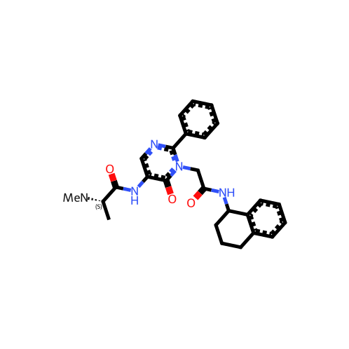 CN[C@@H](C)C(=O)Nc1cnc(-c2ccccc2)n(CC(=O)NC2CCCc3ccccc32)c1=O